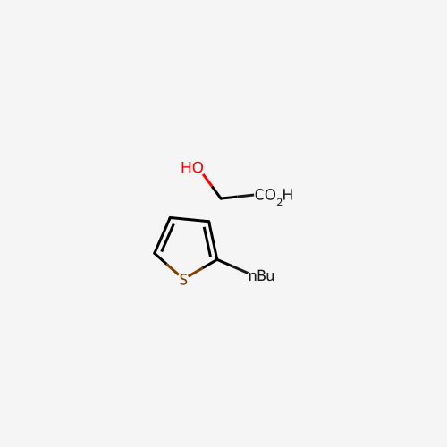 CCCCc1cccs1.O=C(O)CO